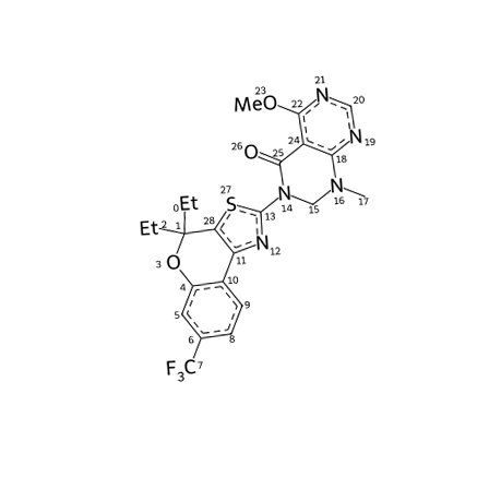 CCC1(CC)Oc2cc(C(F)(F)F)ccc2-c2nc(N3CN(C)c4ncnc(OC)c4C3=O)sc21